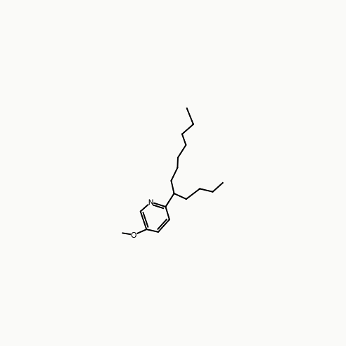 CCCCCCCC(CCCC)c1ccc(OC)cn1